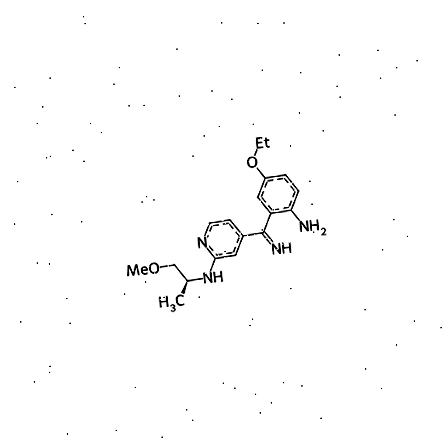 CCOc1ccc(N)c(C(=N)c2ccnc(N[C@@H](C)COC)c2)c1